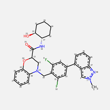 Cn1cc2c(-c3cc(F)c(CN4CC(C(=O)N[C@H]5CCCC[C@@H]5O)Oc5ccccc54)c(F)c3)cccc2n1